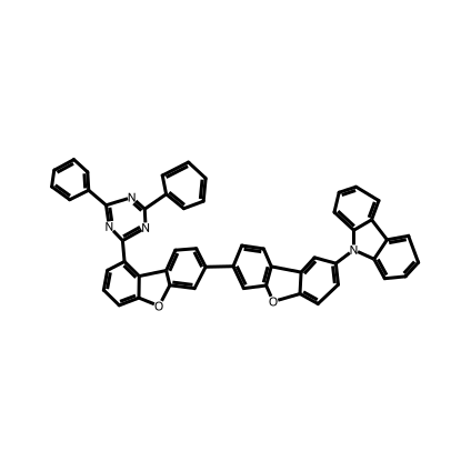 c1ccc(-c2nc(-c3ccccc3)nc(-c3cccc4oc5cc(-c6ccc7c(c6)oc6ccc(-n8c9ccccc9c9ccccc98)cc67)ccc5c34)n2)cc1